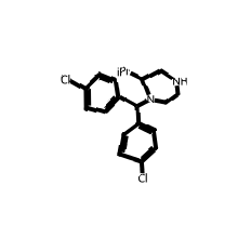 CC(C)C1CNCCN1C(c1ccc(Cl)cc1)c1ccc(Cl)cc1